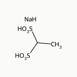 CC(S(=O)(=O)O)S(=O)(=O)O.[NaH]